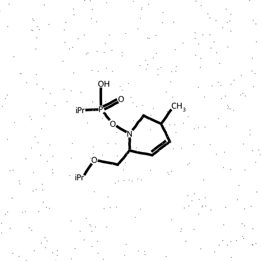 CC1C=CC(COC(C)C)N(OP(=O)(O)C(C)C)C1